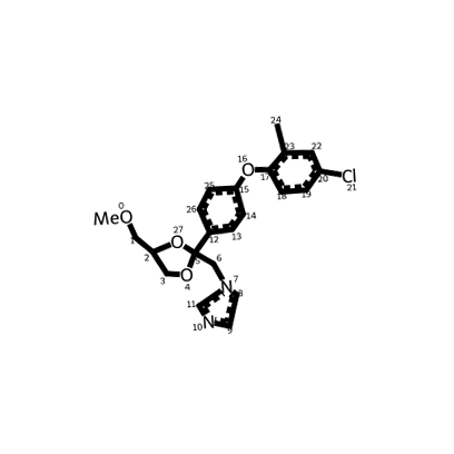 COCC1COC(Cn2ccnc2)(c2ccc(Oc3ccc(Cl)cc3C)cc2)O1